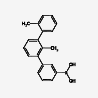 Cc1ccccc1-c1cccc(-c2cccc(B(O)O)c2)c1C